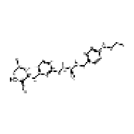 CCCOc1ccc(COC(=O)NCc2cccc(C[C@H](OC(C)C)C(=O)O)c2)cc1